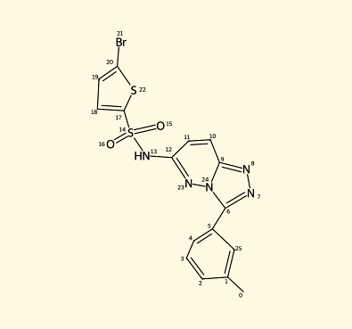 Cc1cccc(-c2nnc3ccc(NS(=O)(=O)c4ccc(Br)s4)nn23)c1